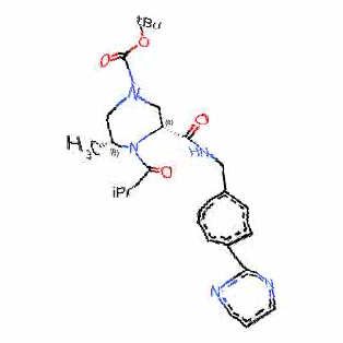 CC(C)C(=O)N1[C@H](C)CN(C(=O)OC(C)(C)C)C[C@@H]1C(=O)NCc1ccc(-c2ncccn2)cc1